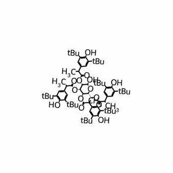 CC(C(=O)OC[C@H]1O[C@H](O)[C@H](OC(=O)C(C)c2cc(C(C)(C)C)c(O)c(C(C)(C)C)c2)[C@@H](OC(=O)C(C)c2cc(C(C)(C)C)c(O)c(C(C)(C)C)c2)[C@@H]1OC(=O)C(C)c1cc(C(C)(C)C)c(O)c(C(C)(C)C)c1)c1cc(C(C)(C)C)c(O)c(C(C)(C)C)c1